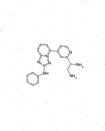 NCC(N)c1cc(-c2cccc3nc(Nc4ccccc4)nn23)ccn1